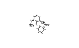 Oc1cccc2ccccc12.[N-]=Nc1ccccc1.[Na+]